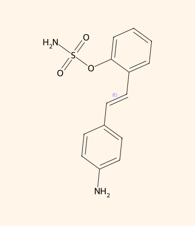 Nc1ccc(/C=C/c2ccccc2OS(N)(=O)=O)cc1